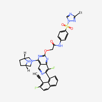 C#Cc1c(F)ccc2cccc(-c3ncc4c(N5C[C@H]6CC[C@@H](C5)N6)nc(OCC(=O)Nc5ccc(S(=O)(=O)n6cnc(CC)n6)cc5)nc4c3F)c12